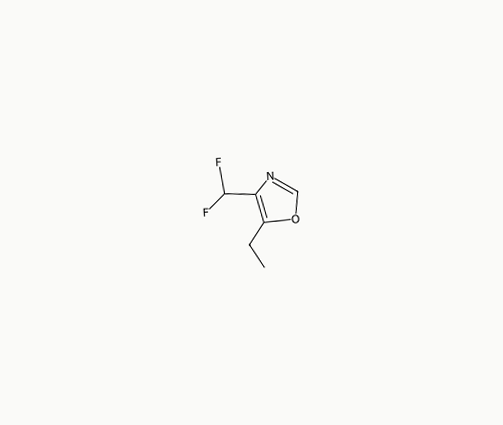 CCc1ocnc1C(F)F